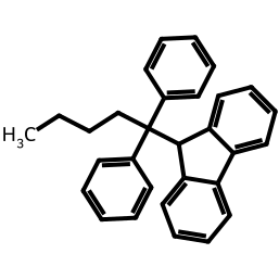 CCCCC(c1ccccc1)(c1ccccc1)C1c2ccccc2-c2ccccc21